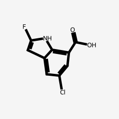 O=C(O)c1cc(Cl)cc2cc(F)[nH]c12